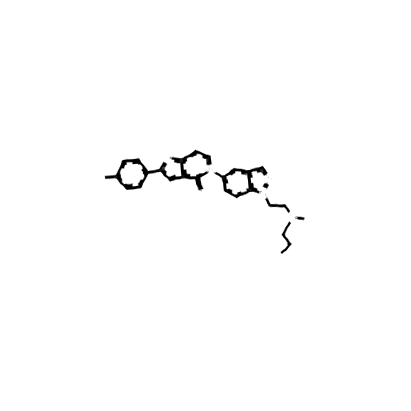 CCCN(C)CCn1ncc2cc(-n3ccc4oc(-c5ccc(C)cc5)cc4c3=O)ccc21